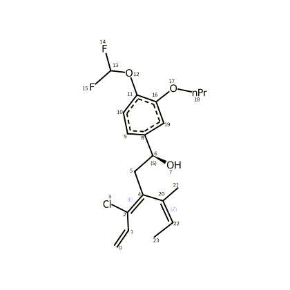 C=C/C(Cl)=C(C[C@H](O)c1ccc(OC(F)F)c(OCCC)c1)\C(C)=C/C